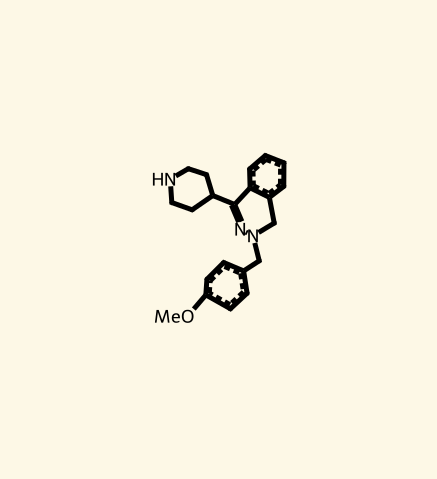 COc1ccc(CN2Cc3ccccc3C(C3CCNCC3)=N2)cc1